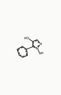 CCCn1ncc(O)c1-c1ccccc1